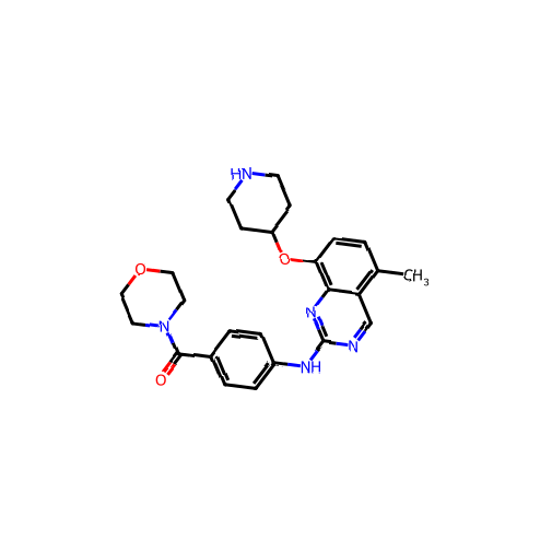 Cc1ccc(OC2CCNCC2)c2nc(Nc3ccc(C(=O)N4CCOCC4)cc3)ncc12